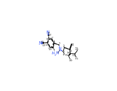 C=C(CC(C)N(N)Cc1ccc(C#N)c(C#N)c1)/C(=C/C)C(C)C